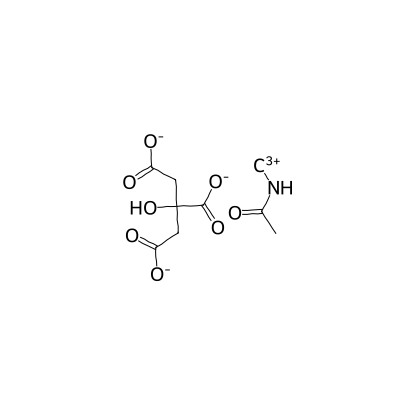 O=C([O-])CC(O)(CC(=O)[O-])C(=O)[O-].[C+3]NC(C)=O